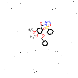 COc1cc(C(=O)N(N)S(=O)(=O)c2ccccc2)cc(OCc2ccccc2)c1OC